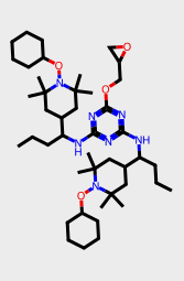 CCCC(Nc1nc(NC(CCC)C2CC(C)(C)N(OC3CCCCC3)C(C)(C)C2)nc(OCC2CO2)n1)C1CC(C)(C)N(OC2CCCCC2)C(C)(C)C1